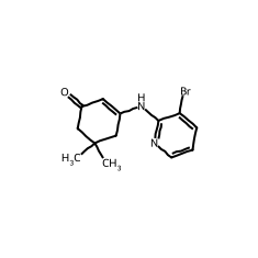 CC1(C)CC(=O)C=C(Nc2ncccc2Br)C1